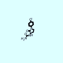 NC(=O)NN1CCN(c2ccc(Cl)cc2)C1=O